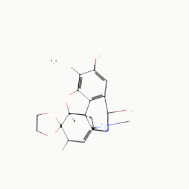 COc1c(Br)cc2c3c1O[C@H]1C4(OCCO4)C(Br)C=C4C(C2Br)N(C)CC[C@]431